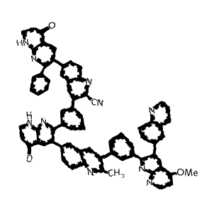 COc1ccnc2nc(-c3cccc(-c4cc5cc(-c6cc7c(=O)cc[nH]c7nc6-c6cccc(-c7cc8cc(-c9cc%10c(=O)cc[nH]c%10nc9-c9ccccc9)ccc8nc7C#N)c6)ccc5nc4C)c3)c(-c3ccc4ncccc4c3)cc12